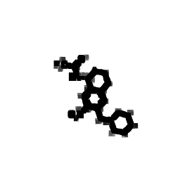 O=C(N[C@@H]1CCCc2cc(CN3CCCCC3)c([N+](=O)[O-])cc21)C(F)(F)F